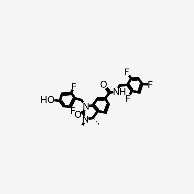 C[C@H]1c2ccc(C(=O)NCc3c(F)cc(F)cc3F)cc2N(Cc2c(F)cc(O)cc2F)C(=O)N1C